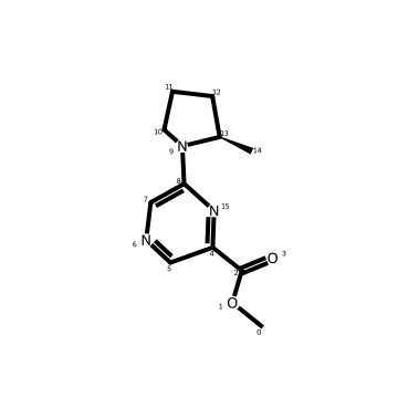 COC(=O)c1cncc(N2CCC[C@H]2C)n1